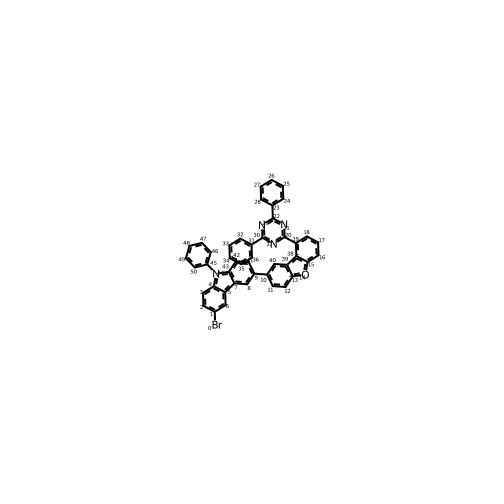 Brc1ccc2c(c1)c1cc(-c3ccc4oc5cccc(-c6nc(-c7ccccc7)nc(-c7ccccc7)n6)c5c4c3)ccc1n2-c1ccccc1